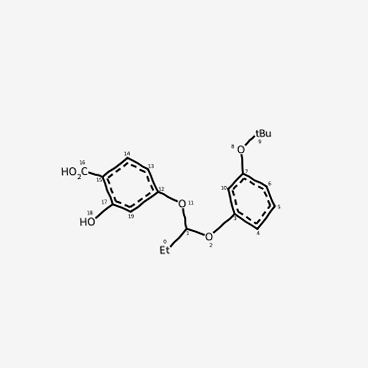 CCC(Oc1cccc(OC(C)(C)C)c1)Oc1ccc(C(=O)O)c(O)c1